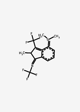 CC1C(=BC(F)(F)F)c2cccc(=[Si](C)C)c2=C1C(F)(F)F